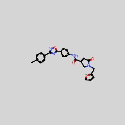 Cc1ccc(-c2noc(-c3ccc(NC(=O)C4CC(=O)N(Cc5ccco5)C4)cc3)n2)cc1